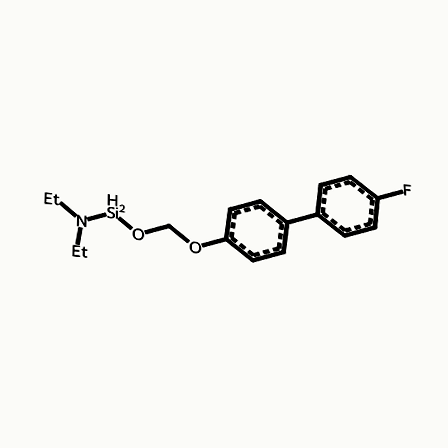 CCN(CC)[SiH2]OCOc1ccc(-c2ccc(F)cc2)cc1